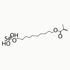 C=C(C)C(=O)OCCCCCCCCCCOP(O)(O)=S